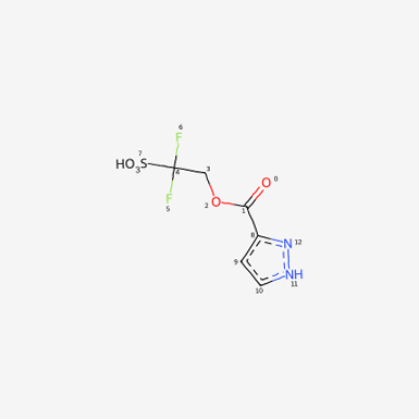 O=C(OCC(F)(F)S(=O)(=O)O)c1cc[nH]n1